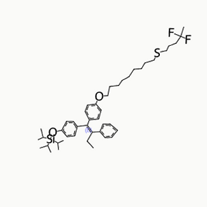 CC/C(=C(/c1ccc(OCCCCCCCCCSCCCC(C)(F)F)cc1)c1ccc(O[Si](C(C)C)(C(C)C)C(C)C)cc1)c1ccccc1